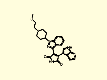 COCCN1CCC(n2nc(C3=C(c4c[nH]c5sccc45)C(=O)NC3=O)c3ccccc32)CC1